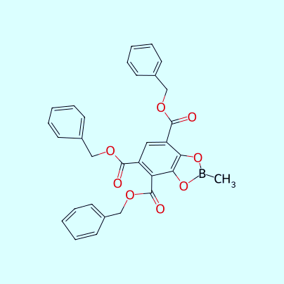 CB1Oc2c(C(=O)OCc3ccccc3)cc(C(=O)OCc3ccccc3)c(C(=O)OCc3ccccc3)c2O1